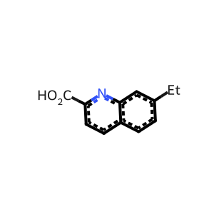 CCc1ccc2ccc(C(=O)O)nc2c1